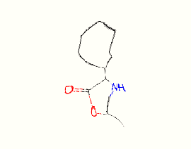 CC1NC(C2CCCCC2)C(=O)O1